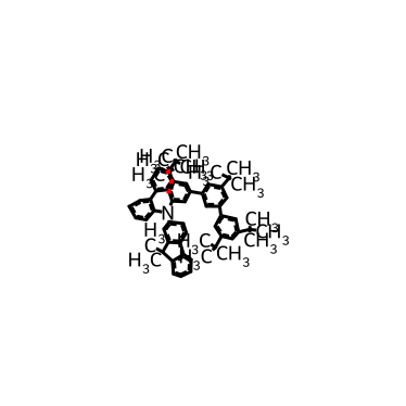 CC(C)(C)c1ccc(-c2ccccc2N(c2cc(-c3cc(-c4cc(C(C)(C)C)cc(C(C)(C)C)c4)cc(C(C)(C)C)c3)cc(C(C)(C)C)c2)c2ccc3c(c2)C(C)(C)c2ccccc2-3)cc1